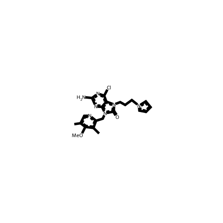 COc1c(C)cnc(Cn2c(=O)n(CCCn3cccc3)c3c(Cl)nc(N)nc32)c1C